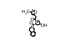 Cc1cc(CC(=O)N2C[C@H](O)C[C@H]2C(=O)N2CCc3ccccc3C2)on1